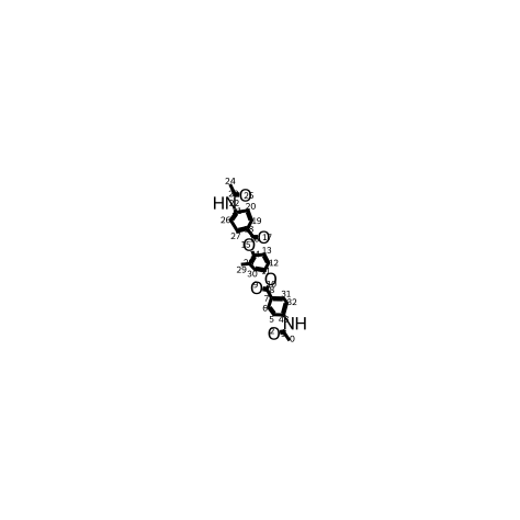 CC(=O)Nc1ccc(C(=O)Oc2ccc(OC(=O)c3ccc(NC(C)=O)cc3)c(C)c2)cc1